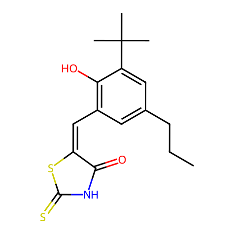 CCCc1cc(C=C2SC(=S)NC2=O)c(O)c(C(C)(C)C)c1